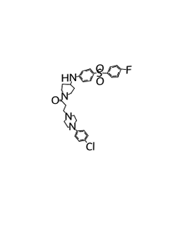 O=C(CCN1CCN(c2ccc(Cl)cc2)CC1)N1CCC(Nc2ccc(S(=O)(=O)c3ccc(F)cc3)cc2)CC1